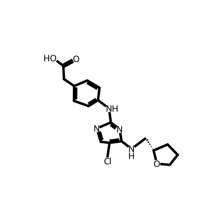 O=C(O)Cc1ccc(Nc2ncc(Cl)c(NC[C@@H]3CCCO3)n2)cc1